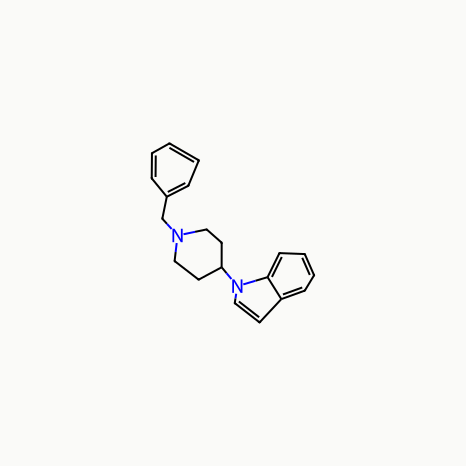 c1ccc(CN2CCC(n3ccc4ccccc43)CC2)cc1